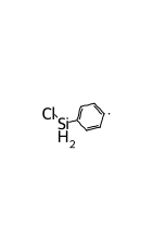 Cl[SiH2]c1cc[c]cc1